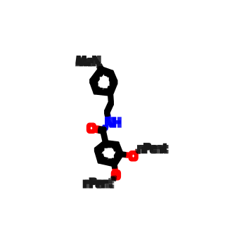 CCCCCOc1ccc(C(=O)NCCc2ccc(NC)cc2)cc1OCCCCC